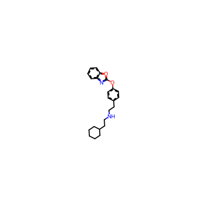 c1ccc2oc(Oc3ccc(CCNCCC4CCCCC4)cc3)nc2c1